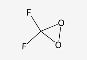 FC1(F)OO1